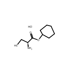 Cl.N[C@@H](CS)C(=O)OC1CCCCC1